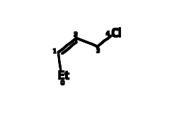 CC/C=[C]\CCl